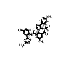 [2H]C([2H])([2H])n1c(=O)c2cc(C)cc(C(C)Nc3ccc(Cl)nc3-c3nnc(C)o3)c2n2cnc(-c3cnc(N)nc3)c12